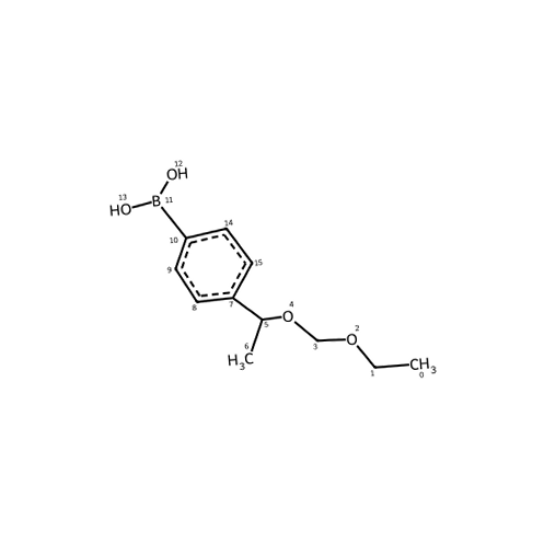 CCOCOC(C)c1ccc(B(O)O)cc1